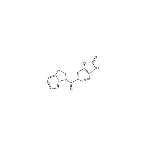 O=C(c1ccc2[nH]c(=O)[nH]c2c1)N1CCc2ccccc21